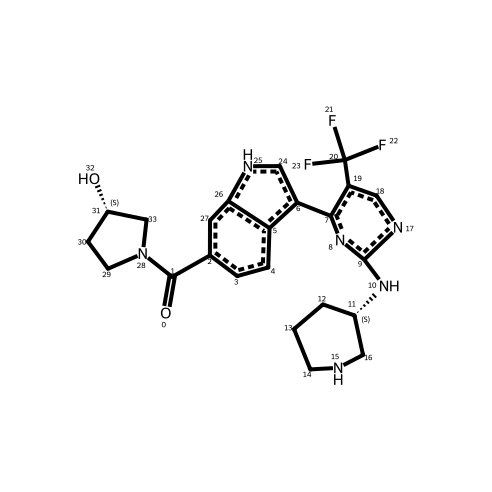 O=C(c1ccc2c(-c3nc(N[C@H]4CCCNC4)ncc3C(F)(F)F)c[nH]c2c1)N1CC[C@H](O)C1